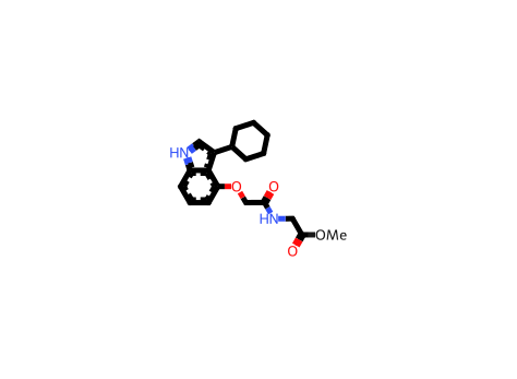 COC(=O)CNC(=O)COc1cccc2[nH]cc(C3CCCCC3)c12